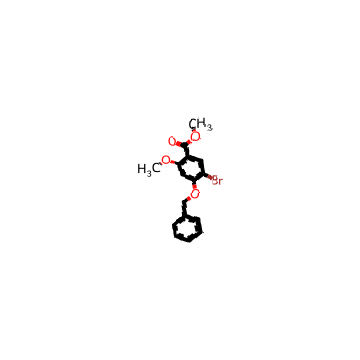 COC(=O)c1cc(Br)c(OCc2ccccc2)cc1OC